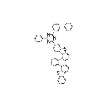 c1ccc(-c2cccc(-c3nc(-c4ccccc4)nc(-c4ccc5c(c4)sc4cccc(-c6ccccc6-c6cccc7c6sc6ccccc67)c45)n3)c2)cc1